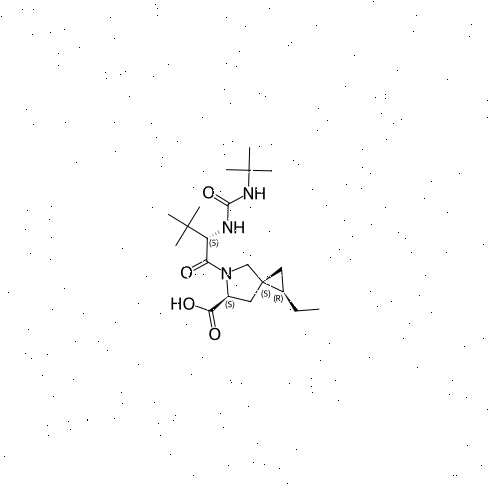 CC[C@@H]1C[C@]12C[C@@H](C(=O)O)N(C(=O)[C@@H](NC(=O)NC(C)(C)C)C(C)(C)C)C2